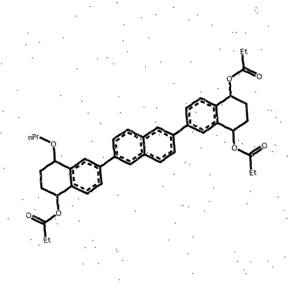 CCCOC1CCC(OC(=O)CC)c2ccc(-c3ccc4cc(-c5ccc6c(c5)C(OC(=O)CC)CCC6OC(=O)CC)ccc4c3)cc21